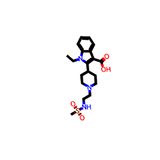 CCn1c(C2CCN(CCNS(C)(=O)=O)CC2)c(C(=O)O)c2ccccc21